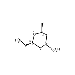 C[C@H]1CN(C(=O)O)C[C@@H](CN)O1